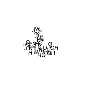 O=C(O)[C@H]1O[C@@H](n2cnc3c(N[C@@H]4CCOC4)nc(-n4cc(-c5ccncc5)cn4)nc32)[C@@H](O)[C@H]1O